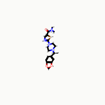 C[C@@H](c1ccc2c(c1)OCO2)N1CCN(c2ncc(C(=O)N(C)C)s2)CC1